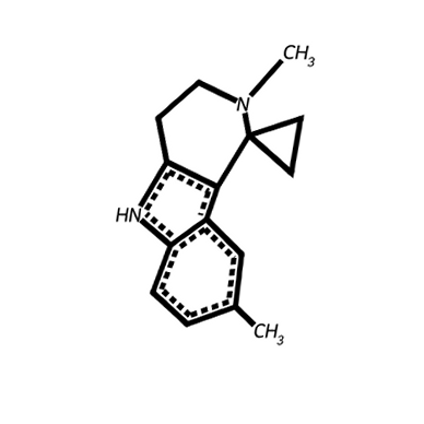 Cc1ccc2[nH]c3c(c2c1)C1(CC1)N(C)CC3